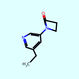 CCc1cncc(N2CCC2=O)c1